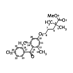 COC(=O)C(C)(C)CCCOc1cc(C)c(C(=O)c2ccc(Cl)cc2)c(C)c1